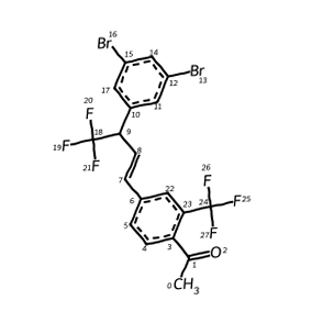 CC(=O)c1ccc(/C=C/C(c2cc(Br)cc(Br)c2)C(F)(F)F)cc1C(F)(F)F